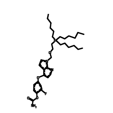 CCCCCC[Si](CCCCCC)(CCCCCC)CCOCn1ccc2c(Oc3ccc(OC(N)=O)c(F)c3)ccnc21